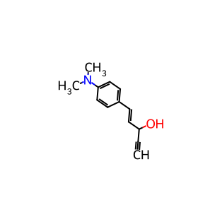 C#CC(O)/C=C/c1ccc(N(C)C)cc1